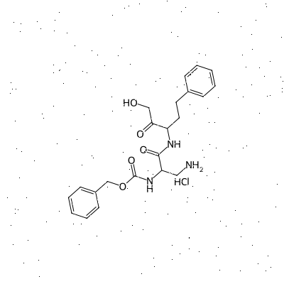 Cl.NCC(NC(=O)OCc1ccccc1)C(=O)NC(CCc1ccccc1)C(=O)CO